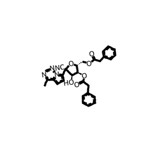 Cc1ncnn2c([C@]3(C#N)O[C@H](COC(=O)Cc4ccccc4)[C@@H](OC(=O)Cc4ccccc4)[C@H]3O)ccc12